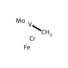 [CH3][V].[Cr].[Fe].[Mo]